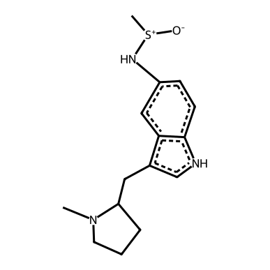 CN1CCCC1Cc1c[nH]c2ccc(N[S+](C)[O-])cc12